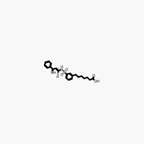 N=C(/C=C(\S)NS(=O)(=O)c1cccc(CCCCCCC(=O)O)c1)c1ccccc1